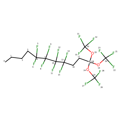 CCCCC(F)(F)C(F)(F)C(F)(F)C(F)(F)CC[Si](OC(F)(F)F)(OC(F)(F)F)OC(F)(F)F